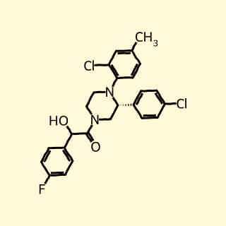 Cc1ccc(N2CCN(C(=O)C(O)c3ccc(F)cc3)C[C@H]2c2ccc(Cl)cc2)c(Cl)c1